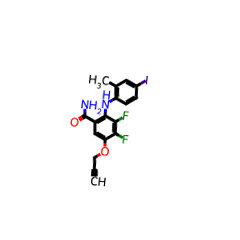 C#CCOc1cc(C(N)=O)c(Nc2ccc(I)cc2C)c(F)c1F